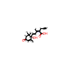 C#CC/C(C(=O)O)=C(\C)C=C[C@@]1(O)C(C)=CC(=O)CC1(C)C